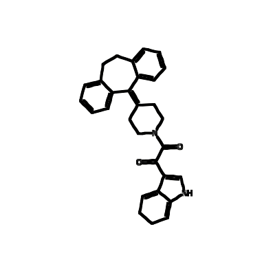 O=C(C(=O)N1CCC(=C2c3ccccc3CCc3ccccc32)CC1)c1c[nH]c2c1=CCCC=2